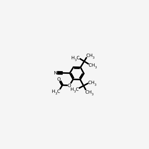 CC(=O)Oc1c(C#N)cc(C(C)(C)C)cc1C(C)(C)C